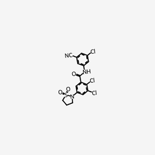 N#Cc1cc(Cl)cc(NC(=O)c2cc(N3CCCS3(=O)=O)cc(Cl)c2Cl)c1